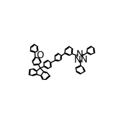 c1ccc(-c2nc(-c3ccccc3)nc(-c3cccc(-c4ccc(-c5ccc(C6(c7ccc8c(c7)oc7ccccc78)c7ccccc7-c7ccccc76)cc5)cc4)c3)n2)cc1